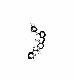 O=C(Nc1cccnn1)N1CC/C(=C/c2cccc(Oc3ccc(C(F)(F)F)cn3)c2)[C@@H](O)C1